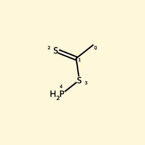 CC(=S)SP